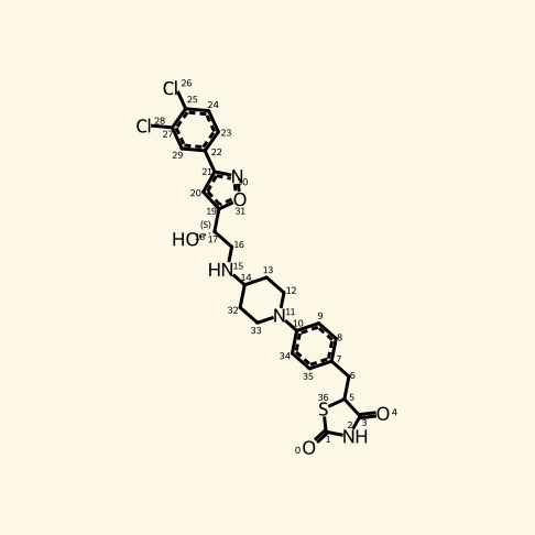 O=C1NC(=O)C(Cc2ccc(N3CCC(NC[C@H](O)c4cc(-c5ccc(Cl)c(Cl)c5)no4)CC3)cc2)S1